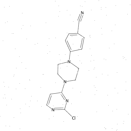 N#Cc1ccc(N2CCN(c3ccnc(Cl)n3)CC2)cc1